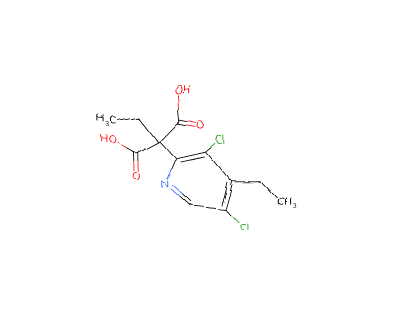 CCc1c(Cl)cnc(C(CC)(C(=O)O)C(=O)O)c1Cl